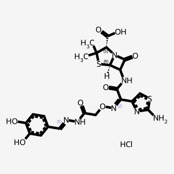 CC1(C)S[C@@H]2C(NC(=O)/C(=N\OCC(=O)N/N=C/c3ccc(O)c(O)c3)c3csc(N)n3)C(=O)N2[C@H]1C(=O)O.Cl